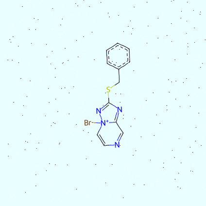 Br[N+]12C=CN=CC1=NC(SCc1ccccc1)=N2